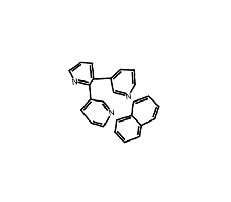 c1ccc2ccccc2c1.c1cncc(-c2cccnc2-c2cccnc2)c1